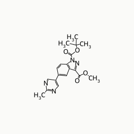 COC(=O)c1nn(C(=O)OC(C)(C)C)c2ccc(-c3cnc(C)nc3)cc12